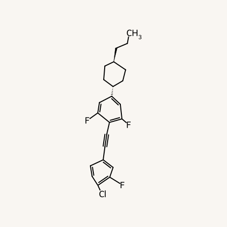 CCC[C@H]1CC[C@H](c2cc(F)c(C#Cc3ccc(Cl)c(F)c3)c(F)c2)CC1